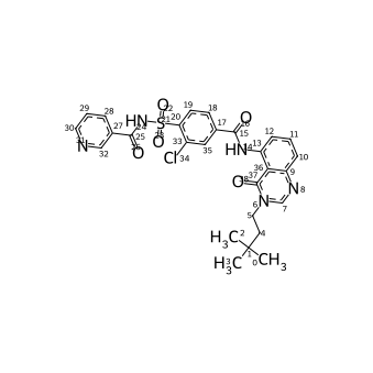 CC(C)(C)CCn1cnc2cccc(NC(=O)c3ccc(S(=O)(=O)NC(=O)c4cccnc4)c(Cl)c3)c2c1=O